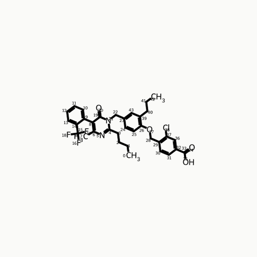 CCCCc1nc(C)c(-c2ccccc2C(F)(F)F)c(=O)n1Cc1ccc(OCc2ccc(C(=O)O)cc2Cl)c(CCC)c1